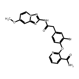 COc1ccn2nc(NC(=O)Cc3ccc(Oc4ncccc4C(N)=O)c(Br)c3)nc2c1